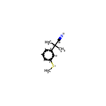 CSc1cccc(C(C)(C)C#N)c1